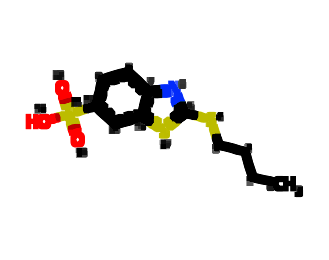 CCCCSc1nc2ccc(S(=O)(=O)O)cc2s1